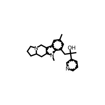 Cc1cc(CC(C)(O)c2cccnc2)c2c(c1)c1c(n2C)CC2CCCN2C1